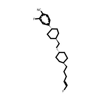 N#Cc1ccc([C@H]2CC[C@H](CC[C@H]3CC[C@H](CCC/C=C/F)CC3)CC2)cc1F